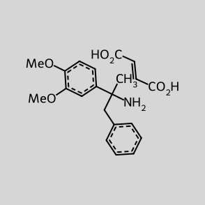 COc1ccc(C(C)(N)Cc2ccccc2)cc1OC.O=C(O)/C=C/C(=O)O